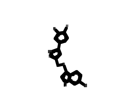 Fc1ccc(-c2cc(CSc3c[nH]c4cc(Cl)ccc34)n[nH]2)cc1F